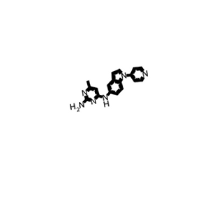 Cc1cc(Nc2ccc3c(ccn3-c3ccncc3)c2)nc(N)n1